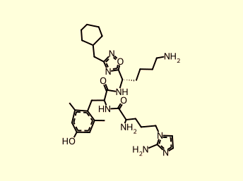 Cc1cc(O)cc(C)c1CC(NC(=O)C(N)CCCn1ccnc1N)C(=O)N[C@@H](CCCCN)c1nc(CC2CCCCC2)no1